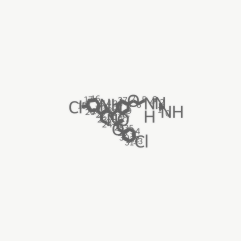 N=C/N=C\NCCOc1ccc(C2c3[nH]c4ccc(Cl)cc4c3CCN2C(=O)Oc2ccc(Cl)cc2)cc1